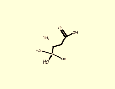 O=C(O)CC[Si](O)(O)O.[SiH4]